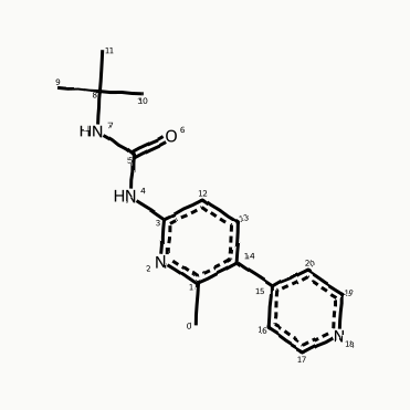 Cc1nc(NC(=O)NC(C)(C)C)ccc1-c1ccncc1